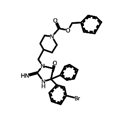 N=C1NC(c2ccccc2)(c2cccc(Br)c2)C(=O)N1CC1CCN(C(=O)OCc2ccccc2)CC1